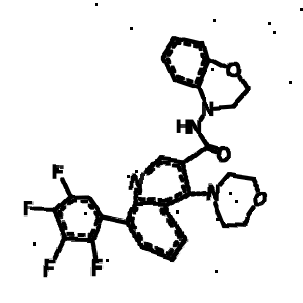 O=C(NN1CCOc2ccccc21)c1cnc2c(-c3cc(F)c(F)c(F)c3F)cccc2c1N1CCOCC1